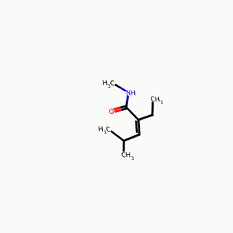 CC/C(=C/C(C)C)C(=O)NC